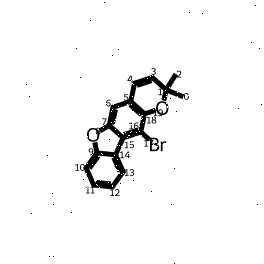 CC1(C)C=Cc2cc3oc4ccccc4c3c(Br)c2O1